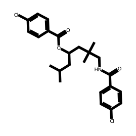 CC(C)CC(CC(C)(C)CNC(=O)c1ccc(Cl)cc1)OC(=O)c1ccc(Cl)cc1